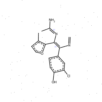 C=N/C(=C(\N=C(/C)N)c1occc1C)c1ccc(O)c(Cl)c1